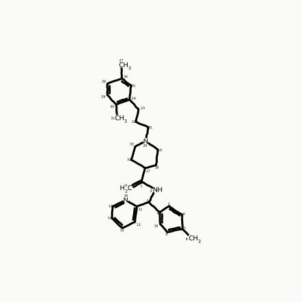 C=C(NC(c1ccc(C)cc1)c1ccccn1)C1CCN(CCCc2cc(C)ccc2C)CC1